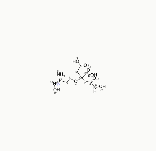 N/C(CCOC(CC(=O)O)(CC(=O)NO)C(=O)O)=N/O